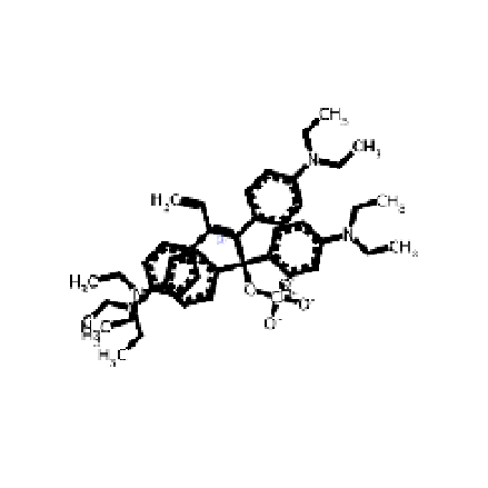 C=C/C(=C(\c1ccc(N(CC)CC)cc1)C(O[Cl+3]([O-])([O-])[O-])(c1ccc(N(CC)CC)cc1)c1ccc(N(CC)CC)cc1)c1ccc(N(CC)CC)cc1